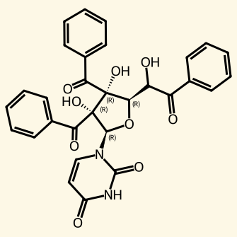 O=C(c1ccccc1)C(O)[C@H]1O[C@@H](n2ccc(=O)[nH]c2=O)[C@@](O)(C(=O)c2ccccc2)[C@@]1(O)C(=O)c1ccccc1